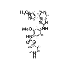 COc1cc(Nc2nc3cncc(-c4cnn(C)c4)n3n2)ccc1NC(=O)OC1CCNCC1